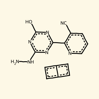 N#Cc1cccnc1-c1nc(O)nc(NN)n1.c1cc2ccc1-2